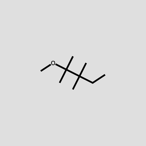 CCC(C)(C)C(C)(C)OC